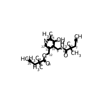 C#CCC(C)(C)C(=O)NCc1c(COC(=O)C(C)(C)CC#C)cnc(C)c1O